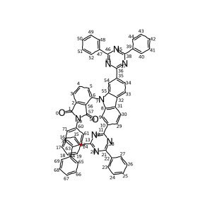 O=C1c2cccc(-n3c4cc(-c5nc(-c6ccccc6)nc(-c6ccccc6)n5)ccc4c4ccc(-c5nc(-c6ccccc6)nc(-c6ccccc6)n5)cc43)c2C(=O)N1c1ccc(-c2ccccc2)cc1